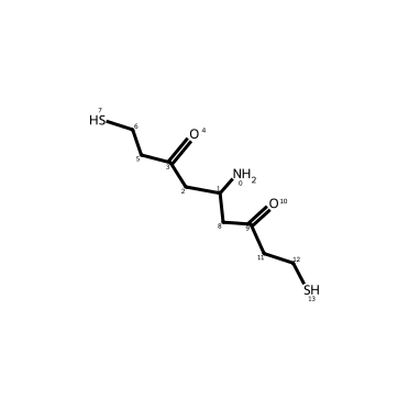 NC(CC(=O)CCS)CC(=O)CCS